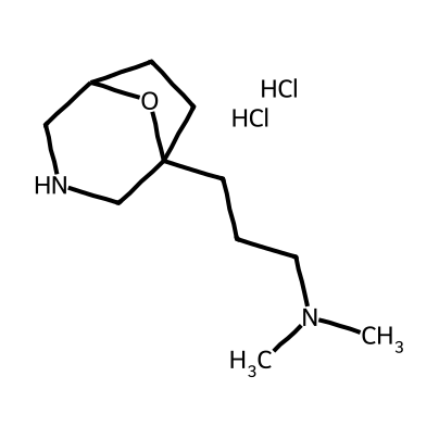 CN(C)CCCC12CCC(CNC1)O2.Cl.Cl